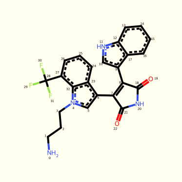 NCCCn1cc(C2=C(c3c[nH]c4ccccc34)C(=O)NC2=O)c2cccc(C(F)(F)F)c21